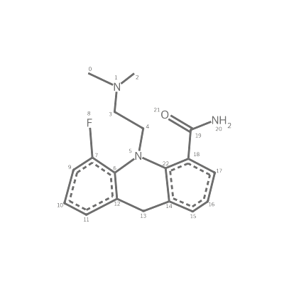 CN(C)CCN1c2c(F)cccc2Cc2cccc(C(N)=O)c21